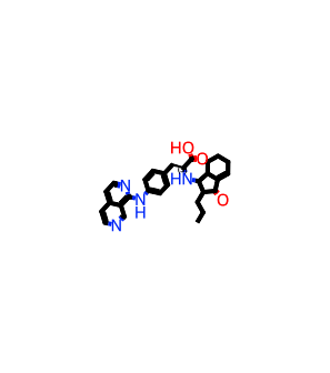 CCCC1C(=O)C2=CCCCC2C1N[C@@H](Cc1ccc(Nc2nccc3ccncc23)cc1)C(=O)O